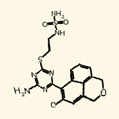 Nc1nc(SCCNS(N)(=O)=O)nc(-c2c(Cl)cc3c4c(cccc24)COC3)n1